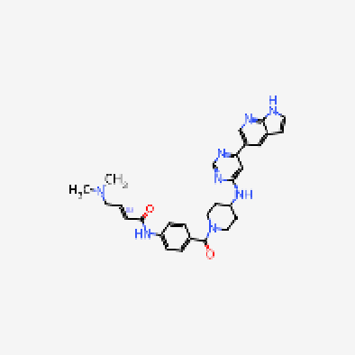 CN(C)C/C=C/C(=O)Nc1ccc(C(=O)N2CCC(Nc3cc(-c4cnc5[nH]ccc5c4)ncn3)CC2)cc1